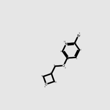 Brc1ccc(OCC2COC2)cn1